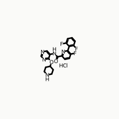 Cl.O=C(Nc1cncnc1OC1CCNCC1)c1ccc(F)c(-c2c(F)cccc2F)n1